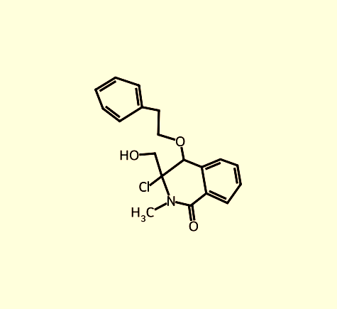 CN1C(=O)c2ccccc2C(OCCc2ccccc2)C1(Cl)CO